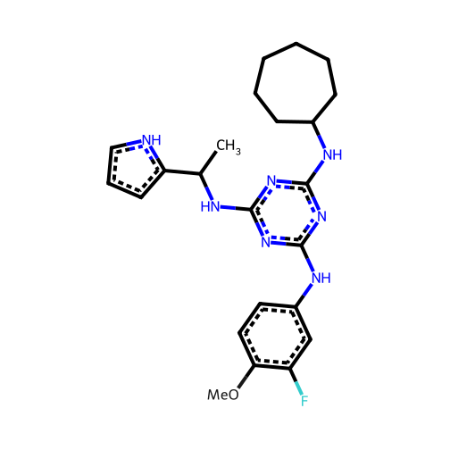 COc1ccc(Nc2nc(NC3CCCCCC3)nc(NC(C)c3ccc[nH]3)n2)cc1F